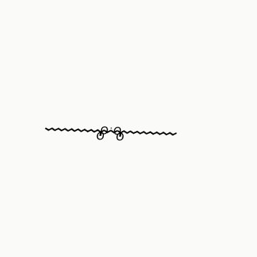 CCCCCCCCCCCCCCCCCC(=O)OC[CH]COC(=O)CCCCCCCCCCCCCCCCC